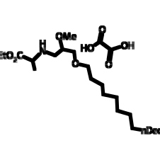 CCCCCCCCCCCCCCCCCCOCC(CNC(C)C(=O)OCC)OC.O=C(O)C(=O)O